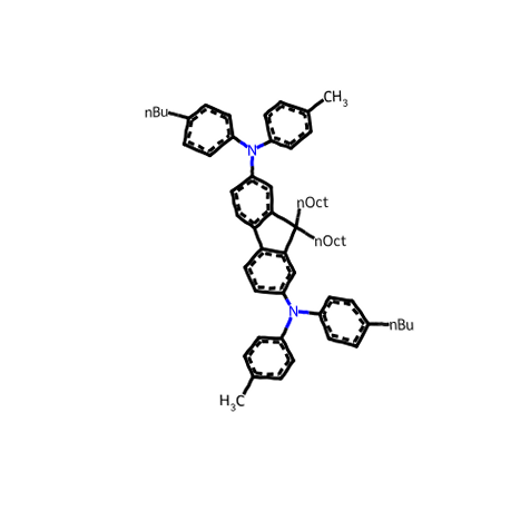 CCCCCCCCC1(CCCCCCCC)c2cc(N(c3ccc(C)cc3)c3ccc(CCCC)cc3)ccc2-c2ccc(N(c3ccc(C)cc3)c3ccc(CCCC)cc3)cc21